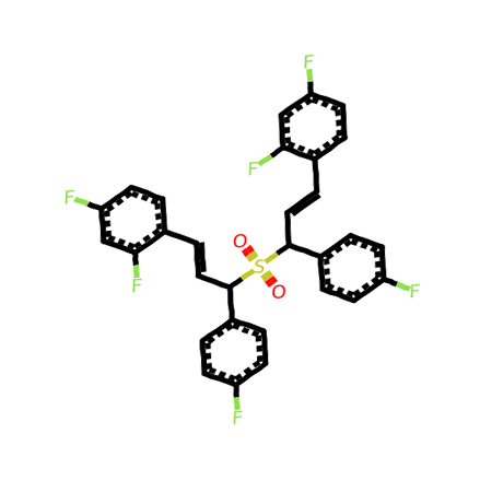 O=S(=O)(C(/C=C/c1ccc(F)cc1F)c1ccc(F)cc1)C(/C=C/c1ccc(F)cc1F)c1ccc(F)cc1